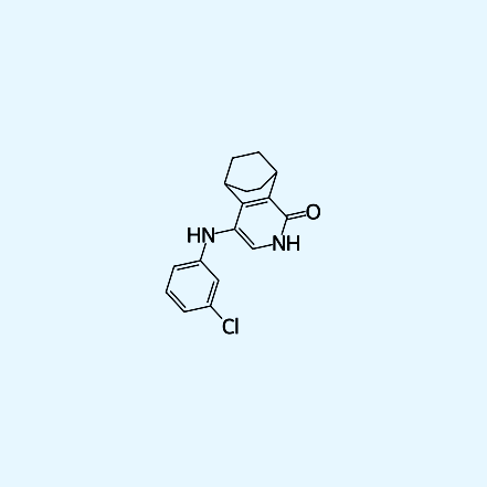 O=c1[nH]cc(Nc2cccc(Cl)c2)c2c1C1CCC2CC1